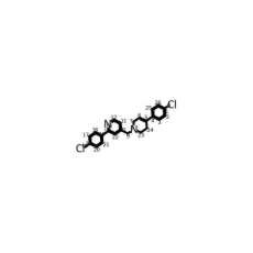 Clc1ccc(C2=CCN(Cc3ccnc(-c4ccc(Cl)cc4)c3)CC2)cc1